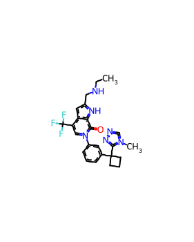 CCNCc1cc2c(C(F)(F)F)cn(-c3cccc(C4(c5nncn5C)CCC4)c3)c(=O)c2[nH]1